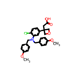 COc1ccc(CN(Cc2ccc(OC)cc2)c2cc(C3(CC(=O)O)COC3)ccc2Cl)cc1